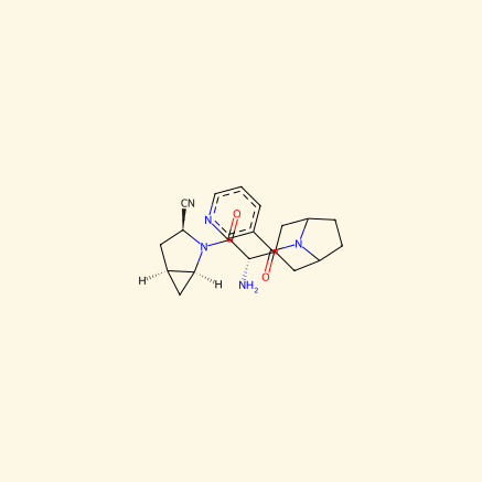 N#C[C@@H]1C[C@@H]2C[C@@H]2N1C(=O)[C@@H](N)C1CC2CCC(C1)N2C(=O)c1cccnc1